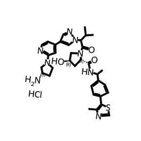 Cc1ncsc1-c1ccc(C(C)NC(=O)[C@@H]2C[C@@H](O)CN2C(=O)C(C(C)C)n2cc(-c3ccnc(N4CC[C@H](N)C4)c3)cn2)cc1.Cl